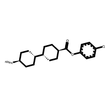 CCCCCC[C@H]1CC[C@H]([C@H]2CC[C@H](C(=O)Oc3ccc(C(F)(F)F)cc3)CC2)CC1